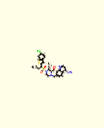 C=CC(c1cc2ccc(Cl)cc2s1)S(=O)(=O)N1CCN(Cc2ccc3c(N)ccnc3c2)C(C=O)C1C